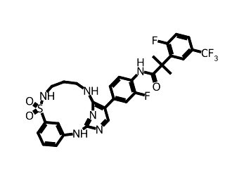 CC(C)(C(=O)Nc1ccc(-c2cnc3nc2NCCCNS(=O)(=O)c2cccc(c2)N3)cc1F)c1cc(C(F)(F)F)ccc1F